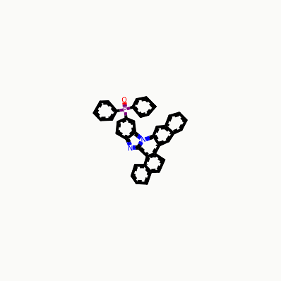 O=P(c1ccccc1)(c1ccccc1)c1ccc2nc3c4c5ccccc5ccc4c4cc5ccccc5cc4n3c2c1